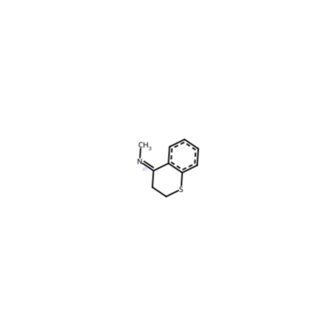 C/N=C1/CCSc2ccccc21